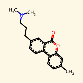 Cc1ccc2c(c1)oc(=O)c1cc(CCCN(C)C)ccc12